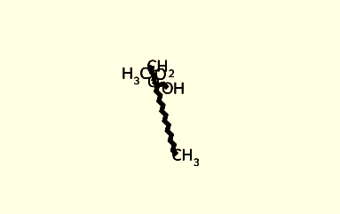 C=C(C)C(=O)OC(CO)CCCCCCCCCCCCCC